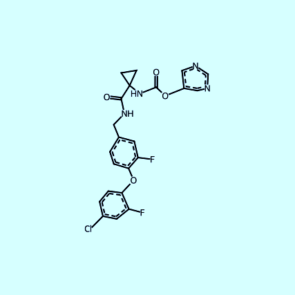 O=C(NC1(C(=O)NCc2ccc(Oc3ccc(Cl)cc3F)c(F)c2)CC1)Oc1cncnc1